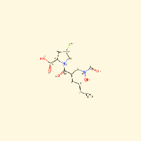 CCCCC(CN(O)C=O)C(=O)N1CC(F)CC1C(=O)O